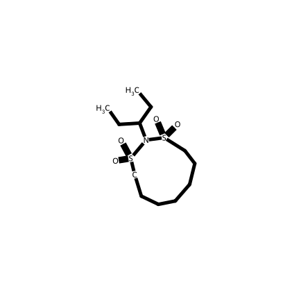 CCC(CC)N1S(=O)(=O)CCCCCCCS1(=O)=O